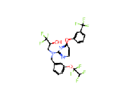 OC(CN(Cc1cccc(OC(F)(F)C(F)F)c1)c1nccc(Oc2cccc(C(F)(F)F)c2)n1)C(F)(F)F